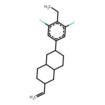 C=CC1CCC2CC(c3cc(F)c(CC)c(F)c3)CCC2C1